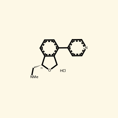 CNC[C@H]1OCc2c(-c3ccncc3)cccc21.Cl